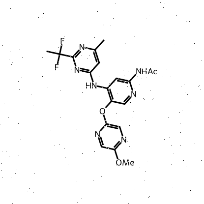 COc1cnc(Oc2cnc(NC(C)=O)cc2Nc2cc(C)nc(C(C)(F)F)n2)cn1